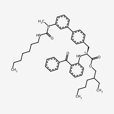 CCCCCCCNC(=O)N(C)c1cccc(-c2ccc(C[C@H](Nc3ccccc3C(=O)c3ccccc3)C(=O)OCC(CC)CCCC)cc2)c1